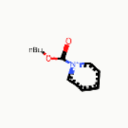 CCCCOC(=O)[n+]1ccccc1